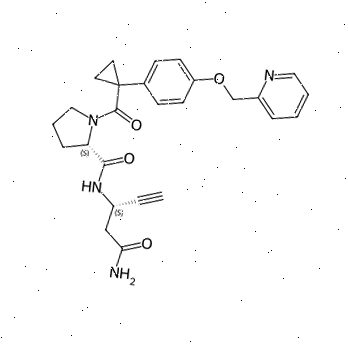 C#C[C@H](CC(N)=O)NC(=O)[C@@H]1CCCN1C(=O)C1(c2ccc(OCc3ccccn3)cc2)CC1